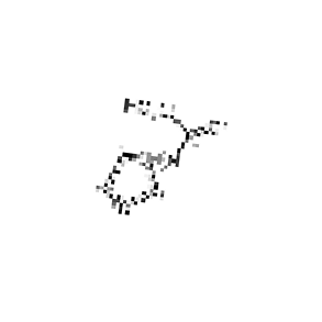 NC(=O)C(=O)O.c1ccoc1